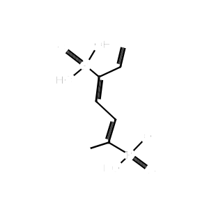 C=C/C(=C\C=C(/C)P(=O)(O)O)P(=O)(O)O